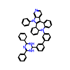 C1=CCC(C2N=C(c3ccccc3)NC(c3cccc(-c4cccc(N5c6ccccc6-c6c(n(-c7ccccc7)c7cnccc67)C6C=CC=CC65)c4)c3)N2)C=C1